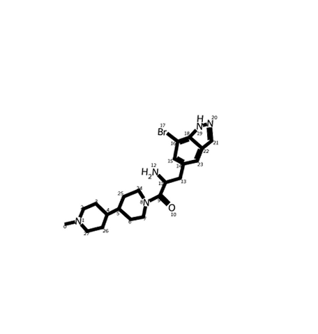 CN1CCC(C2CCN(C(=O)C(N)Cc3cc(Br)c4[nH]ncc4c3)CC2)CC1